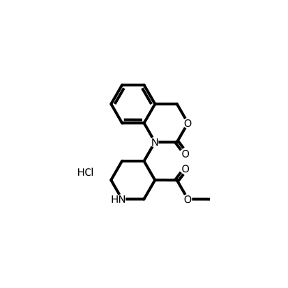 COC(=O)C1CNCCC1N1C(=O)OCc2ccccc21.Cl